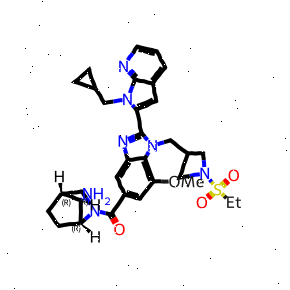 CCS(=O)(=O)N1CC(Cn2c(-c3cc4cccnc4n3CC3CC3)nc3cc(C(=O)N4C[C@H]5CC[C@@H]4[C@@H]5N)cc(OC)c32)C1